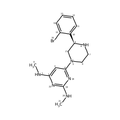 CNc1cc(N2CCN[C@H](c3ccccc3Br)C2)nc(NC)n1